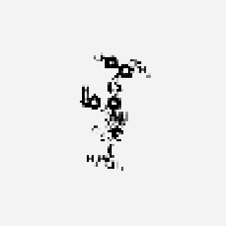 CN(C)CCCNc1scc(S(=O)(=O)NC(=O)c2ccc(N3CCN(CC4=C(c5ccc(Cl)cc5)CC(C)(C)CC4)CC3)cc2Oc2ccc3[nH]ccc3c2)c1[N+](=O)[O-]